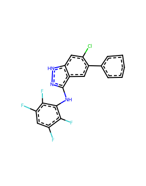 Fc1cc(F)c(F)c(Nc2n[nH]c3cc(Cl)c(-c4ccccc4)cc23)c1F